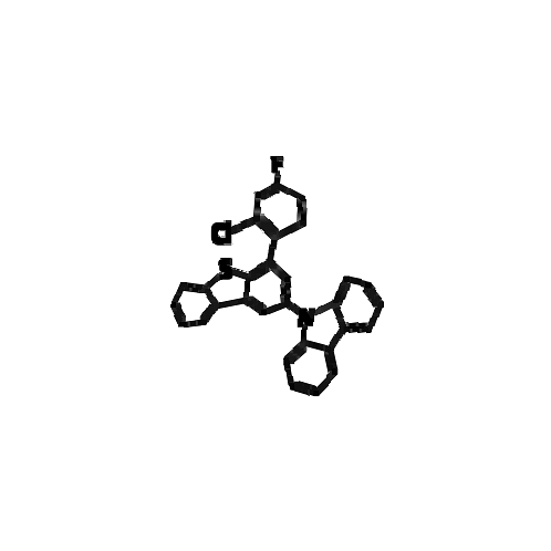 Fc1ccc(-c2cc(-n3c4ccccc4c4ccccc43)cc3c2sc2ccccc23)c(Cl)c1